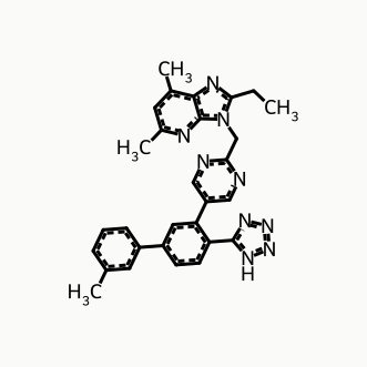 CCc1nc2c(C)cc(C)nc2n1Cc1ncc(-c2cc(-c3cccc(C)c3)ccc2-c2nnn[nH]2)cn1